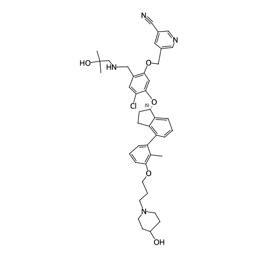 Cc1c(OCCCN2CCC(O)CC2)cccc1-c1cccc2c1CC[C@@H]2Oc1cc(OCc2cncc(C#N)c2)c(CNCC(C)(C)O)cc1Cl